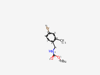 CCCCOC(=O)NCc1ccc(Br)cc1C(F)(F)F